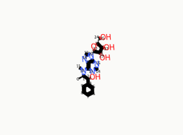 C[C@H]([C@H](O)c1ccccc1)N(C)c1ncnc2c1ncn2[C@@H]1O[C@H](CO)C(O)C1O